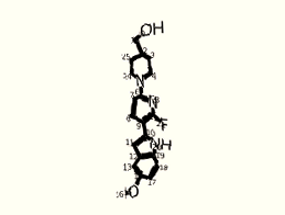 OCC1CCN(c2ccc(-c3cc4cc(OI)ccc4[nH]3)c(F)n2)CC1